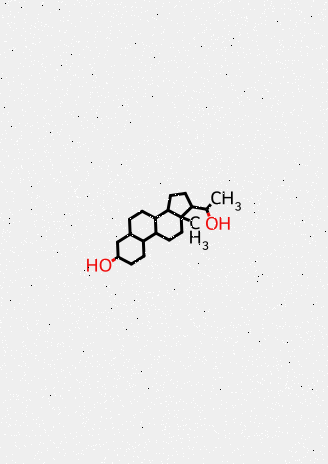 CC(O)C1CCC2C3CCC4CC(O)CCC4C3CCC12C